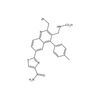 Cc1ccc(-c2c(CNC(=O)O)c(CC(C)C)nc3ccc(-c4nc(C(N)=O)cs4)cc23)cc1